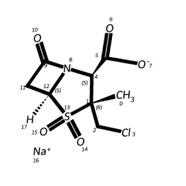 C[C@]1(CCl)[C@H](C(=O)[O-])N2C(=O)C[C@@H]2S1(=O)=O.[Na+]